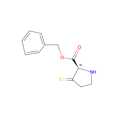 O=C(OCc1ccccc1)[C@H]1NCCC1=S